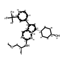 COC[C@H](C)Nc1ncc2c(-c3ccnc(C(F)(F)F)c3)cc([C@H]3CC[C@H](O)CC3)n2n1